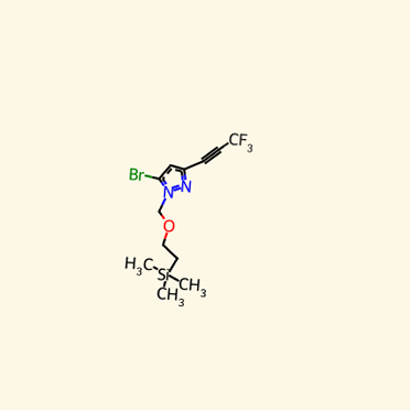 C[Si](C)(C)CCOCn1nc(C#CC(F)(F)F)cc1Br